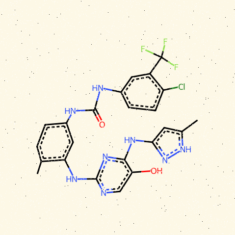 Cc1cc(Nc2nc(Nc3cc(NC(=O)Nc4ccc(Cl)c(C(F)(F)F)c4)ccc3C)ncc2O)n[nH]1